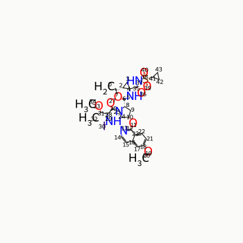 C=C[C@@H]1C[C@]1(NC(=O)[C@@H]1C[C@@H](Oc2nccc3cc(OC)ccc23)CN1C(=O)[C@@H](NI)[C@H](C)OC)C(=O)NS(=O)(=O)C1CC1